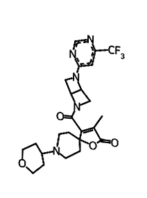 CC1=C(C(=O)N2CC3C2CN3c2cc(C(F)(F)F)ncn2)C2(CCN(C3CCOCC3)CC2)OC1=O